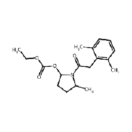 CCOC(=O)OC1CCC(C)N1C(=O)Cc1c(C)cccc1C